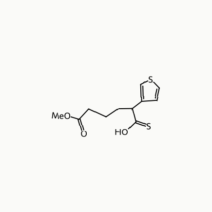 COC(=O)CCCC(C(O)=S)c1ccsc1